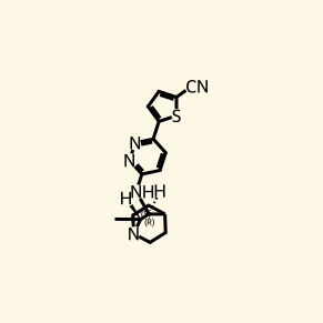 C[C@@H]1[C@@H](Nc2ccc(-c3ccc(C#N)s3)nn2)C2CCN1CC2